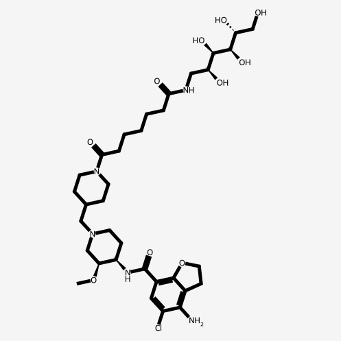 CO[C@H]1CN(CC2CCN(C(=O)CCCCCC(=O)NC[C@H](O)[C@@H](O)[C@H](O)[C@H](O)CO)CC2)CC[C@H]1NC(=O)c1cc(Cl)c(N)c2c1OCC2